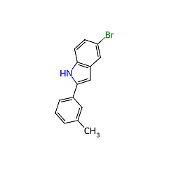 Cc1cccc(-c2cc3cc(Br)ccc3[nH]2)c1